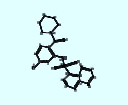 O=C(c1ccc(Cl)cc1NS(=O)(=O)c1cccc2nccnc12)N1CCCCC1